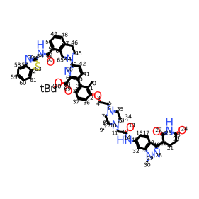 Cc1c(OCCN2C[C@@H](C)N(CC(=O)Nc3ccc4c(C5CCC(=O)NC5=O)nn(C)c4c3)[C@@H](C)C2)cccc1-c1ccc(N2CCc3cccc(C(=O)Nc4nc5ccccc5s4)c3C2)nc1C(=O)OC(C)(C)C